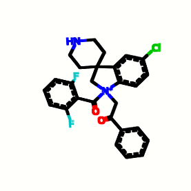 O=C(C[N+]1(C(=O)c2c(F)cccc2F)CC2(CCNCC2)c2cc(Cl)ccc21)c1ccccc1